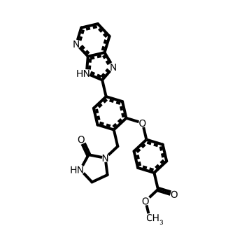 COC(=O)c1ccc(Oc2cc(-c3nc4cccnc4[nH]3)ccc2CN2CCNC2=O)cc1